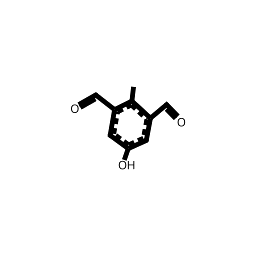 Cc1c(C=O)cc(O)cc1C=O